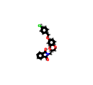 O=C1c2ccccc2C(=O)N1C[C@@H]1COc2ccc(OCc3ccc(Cl)cc3)cc2O1